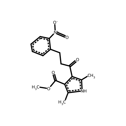 COC(=O)c1c(C)[nH]c(C)c1C(=O)CCc1ccccc1[N+](=O)[O-]